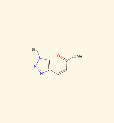 COC(=O)/C=C\c1cn(C(C)(C)C)nn1